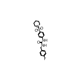 O=C(NCc1ccc(F)cc1)Nc1ccc(S(=O)(=O)N2CCCCC2)cc1